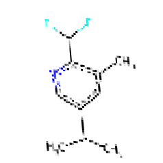 Cc1cc(C(C)C)cnc1C(F)F